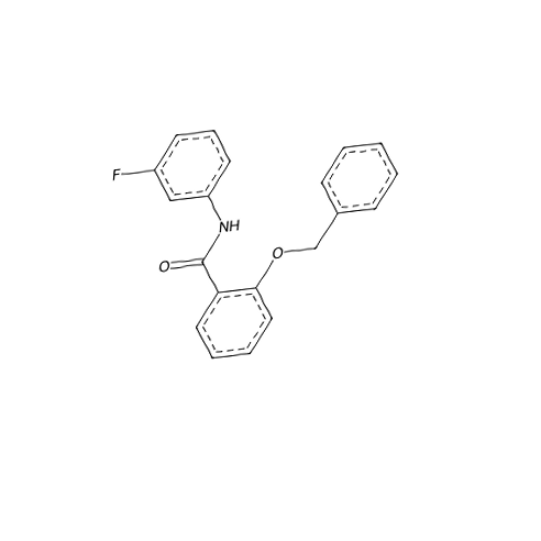 O=C(Nc1cccc(F)c1)c1ccccc1OCc1ccccc1